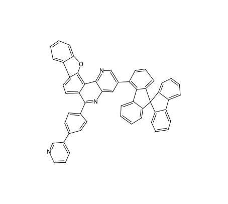 c1cncc(-c2ccc(-c3nc4cc(-c5cccc6c5-c5ccccc5C65c6ccccc6-c6ccccc65)cnc4c4c3ccc3c5ccccc5oc34)cc2)c1